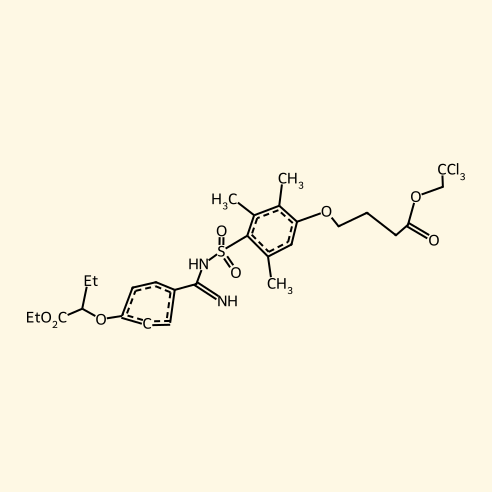 CCOC(=O)C(CC)Oc1ccc(C(=N)NS(=O)(=O)c2c(C)cc(OCCCC(=O)OCC(Cl)(Cl)Cl)c(C)c2C)cc1